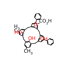 Cc1cc2c(O)c(c1)Cc1cc(-c3ccccc3)cc(c1O)Cc1cc(-c3ccccc3)cc(c1OCC(=O)O)Cc1cc(C)cc(c1O)C2